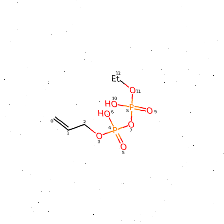 C=CCOP(=O)(O)OP(=O)(O)OCC